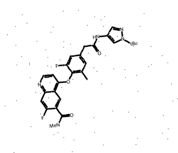 CNC(=O)c1cc2c(Oc3c(C)cc(CC(=O)Nc4cnn(C(C)(C)C)c4)cc3F)ccnc2cc1F